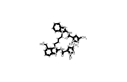 CCn1nc(C)cc1C(=O)Nc1nc2ccccc2n1CCCCn1c(NC(=O)c2cc(C)nn2CC)nc2cccc(CO)c21